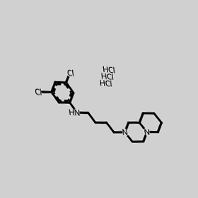 Cl.Cl.Cl.Clc1cc(Cl)cc(NCCCCN2CCN3CCCCC3C2)c1